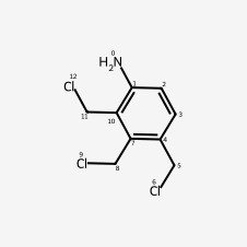 Nc1ccc(CCl)c(CCl)c1CCl